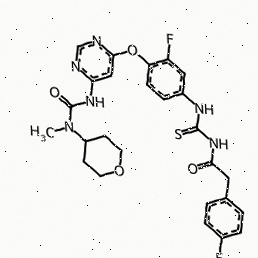 CN(C(=O)Nc1cc(Oc2ccc(NC(=S)NC(=O)Cc3ccc(F)cc3)cc2F)ncn1)C1CCOCC1